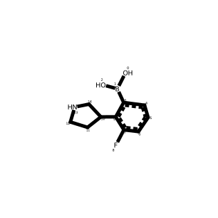 OB(O)c1cccc(F)c1C1CCNC1